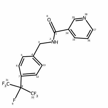 O=C(NCc1ccc(C(F)(C(F)(F)F)C(F)(F)F)cc1)c1cccnc1